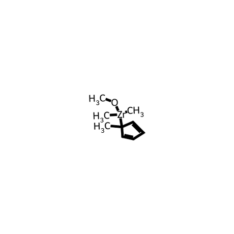 C[O][Zr]([CH3])([CH3])[C]1(C)C=CC=C1